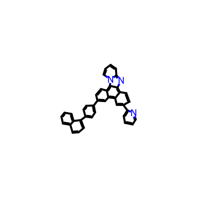 c1ccc(-c2ccc3c(c2)c2cc(-c4ccc(-c5cccc6ccccc56)cc4)ccc2c2c3nc3ccccn32)nc1